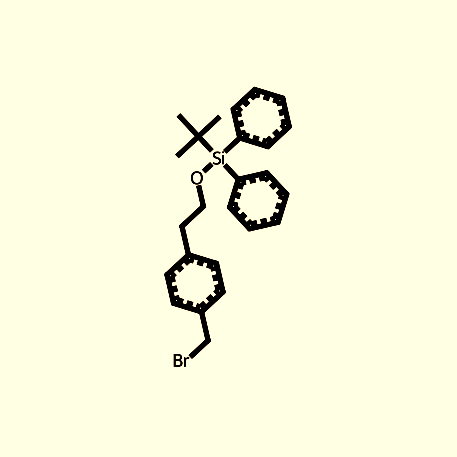 CC(C)(C)[Si](OCCc1ccc(CBr)cc1)(c1ccccc1)c1ccccc1